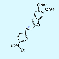 CCN(CC)c1ccc(/C=C/c2cc3cc(OC)c(OC)cc3o2)cc1